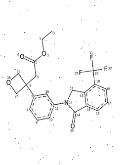 CCOC(=O)CC1(c2cccc(N3Cc4c(cccc4C(F)(F)F)C3=O)c2)COC1